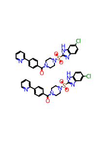 O=C(c1ccc(-c2ccccn2)cc1)N1CCN(S(=O)(=O)c2nc3cc(Cl)ccc3[nH]2)CC1.O=C(c1ccc(-c2ccccn2)cc1)N1CCN(S(=O)(=O)c2nc3ccc(Cl)cc3[nH]2)CC1